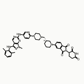 Cc1cccc(C)c1Nc1nn(C)c2nc(Nc3ccc(N4CCN(C[C@H]5CCCN(c6ccc7c(c6)C(=O)N(C6CCC(=O)NC6=O)C7=O)C5)CC4)nc3)ncc12